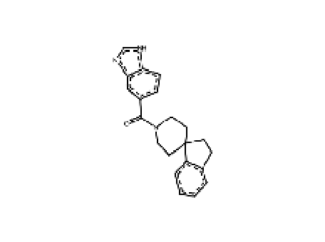 O=C(c1ccc2[nH]cnc2c1)N1CCC2(CCc3ccccc32)CC1